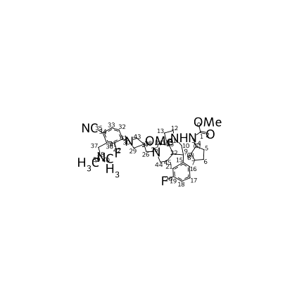 COC(=O)N[C@H]1CCC[C@@H]1C(CN1CCC1)(c1cccc(F)c1)C1CCN(CC2(OC)CN(c3ccc(C#N)c(CN(C)C)c3F)C2)CC1